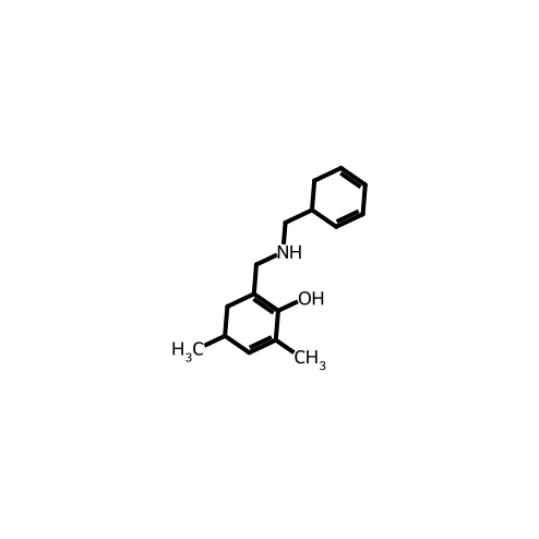 CC1=CC(C)CC(CNCC2C=CC=CC2)=C1O